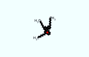 CCCCCCCc1ccc([PH](Cc2ccccc2)(c2ccc(CCCCCCC)cc2)c2ccc(CCCCCCC)cc2)cc1